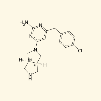 Nc1nc(Cc2ccc(Cl)cc2)cc(N2C[C@H]3CNC[C@H]3C2)n1